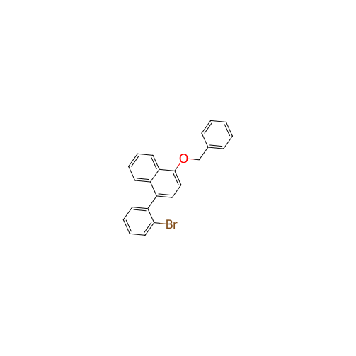 Brc1ccccc1-c1ccc(OCc2ccccc2)c2ccccc12